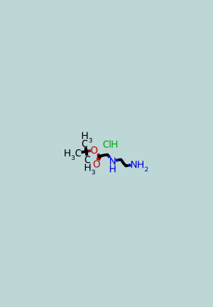 CC(C)(C)OC(=O)CNCCN.Cl